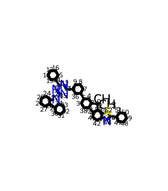 CC1(C)c2cc(-c3cccc(-c4nc(-c5ccccc5)nc(-n5c6ccccc6c6ccccc65)n4)c3)ccc2-c2ccc3nc(-c4ccccc4)sc3c21